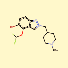 CC(C)(C)N1CCC(Cn2cc3c(OC(F)F)c(Br)ccc3n2)CC1